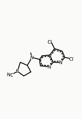 CN(c1cnc2nc(Cl)cc(Cl)c2c1)C1CCB(C#N)C1